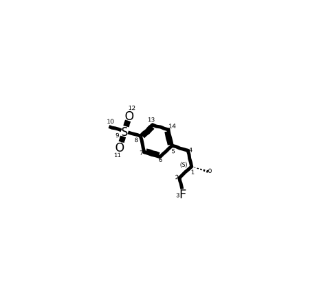 C[C@H](CF)Cc1ccc(S(C)(=O)=O)cc1